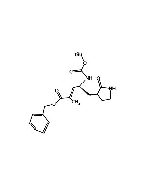 C/C(=C\[C@H](C[C@@H]1CCNC1=O)NC(=O)OC(C)(C)C)C(=O)OCc1ccccc1